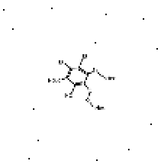 CCCCCCOOc1c(O)c(C(=O)O)c(CC)c(CC)c1OCCCCCC